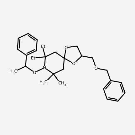 CCC1(CC)CC2(CC(C)(C)N1OC(C)c1ccccc1)OCC(COCc1ccccc1)O2